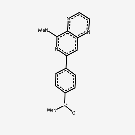 CNc1nc(-c2ccc([S+]([O-])NC)cc2)cc2nccnc12